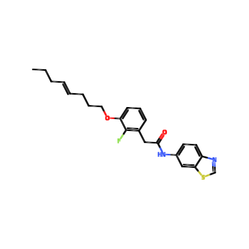 CCCC=CCCCOc1cccc(CC(=O)Nc2ccc3ncsc3c2)c1F